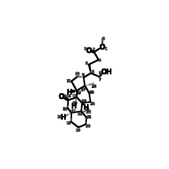 COC(=O)CC[C@@H](CO)[C@H]1CC[C@H]2[C@@H]3C(=O)C[C@@H]4CCCC[C@]4(C)[C@H]3CC[C@]12C